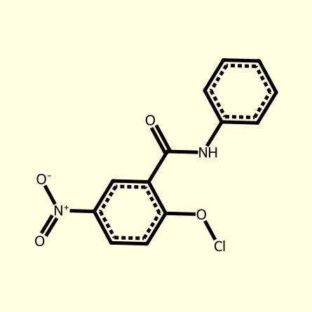 O=C(Nc1ccccc1)c1cc([N+](=O)[O-])ccc1OCl